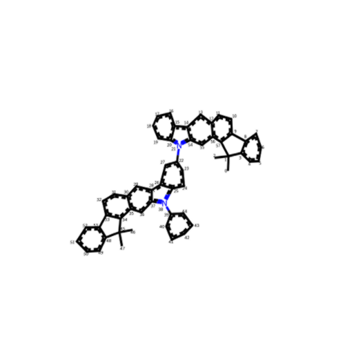 CC1(C)c2ccccc2-c2ccc3cc4c5ccccc5n(-c5ccc6c(c5)c5cc7ccc8c(c7cc5n6-c5ccccc5)C(C)(C)c5ccccc5-8)c4cc3c21